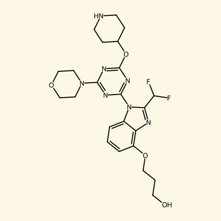 OCCCOc1cccc2c1nc(C(F)F)n2-c1nc(OC2CCNCC2)nc(N2CCOCC2)n1